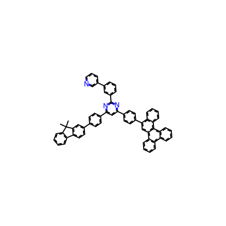 CC1(C)c2ccccc2-c2ccc(-c3ccc(-c4cc(-c5ccc(-c6cc7c8ccccc8c8ccccc8c7c7ccccc67)cc5)nc(-c5cccc(-c6cccnc6)c5)n4)cc3)cc21